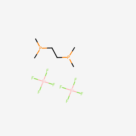 CP(C)CCP(C)C.F[B-](F)(F)F.F[B-](F)(F)F